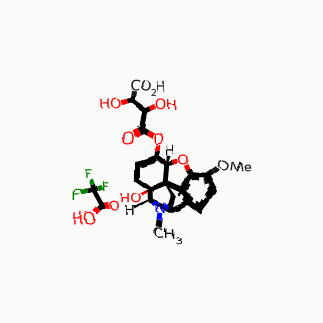 COc1ccc2c3c1O[C@H]1C(OC(=O)C(O)C(O)C(=O)O)=CC[C@@]4(O)[C@@H](C2)N(C)CC[C@]314.O=C(O)C(F)(F)F